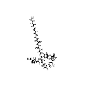 CNC(=O)[C@H](Cc1ccccc1)NC(=O)[C@H](CO)NC(=O)[C@@H](NC(=O)[C@H](CCCNC(=N)N)NC(=O)COCCNC(=O)CCC(=O)NCCOCCOCCCCCCCl)C(C)C